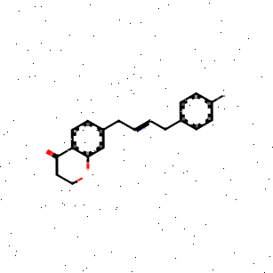 CCc1ccc(C/C=C/Cc2ccc3c(c2)OCCC3=O)cc1